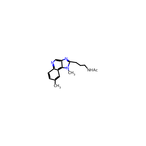 CC(=O)NCCCc1nc2cnc3ccc(C)cc3c2n1C